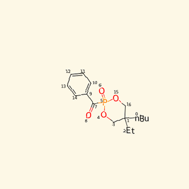 CCCCC1(CC)COP(=O)(C(=O)c2ccccc2)OC1